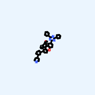 c1ccc(-c2nc(-c3ccccc3)nc(-c3ccc4c(c3)C3(c5cc(-c6cccc(-c7ccncc7)c6)ccc5O4)c4ccccc4-c4ccccc43)n2)cc1